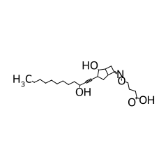 CCCCCCCCCC(O)C#CC1CC2C(=NOCCCC(=O)O)CC2C1O